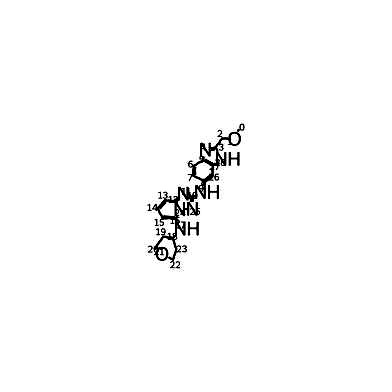 COCc1nc2ccc(Nc3nc4cccc(NC5CCOCC5)n4n3)cc2[nH]1